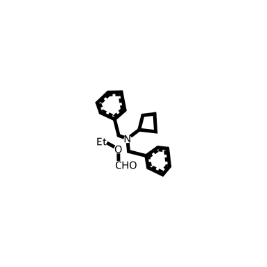 CCOC=O.c1ccc(CN(Cc2ccccc2)C2CCC2)cc1